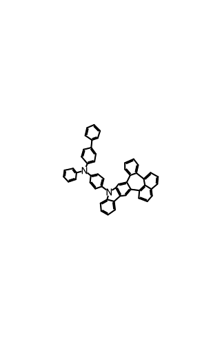 c1ccc(-c2ccc(N(c3ccccc3)c3ccc(-n4c5ccccc5c5cc6c(cc54)-c4ccccc4-c4cccc5cccc-6c45)cc3)cc2)cc1